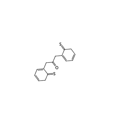 O=C(CC1=CC=CCC1=S)CC1=CC=CCC1=S